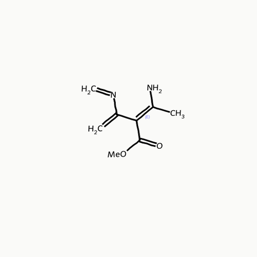 C=NC(=C)/C(C(=O)OC)=C(/C)N